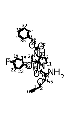 C#CCO[C@H](C)[C@H](N)C(=O)N1CC[C@@H]2[C@H]1[C@@H](Oc1ccc(F)cc1)CN2C(=O)OCc1ccccc1